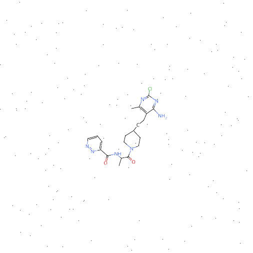 Cc1nc(Cl)nc(N)c1CCC1CCN(C(=O)C(C)NC(=O)c2cccnn2)CC1